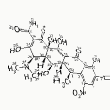 C[C@@H]1c2c([N+](=O)[O-])cc(C(C)(C)C)c(O)c2C(=O)C2=C(O)[C@@]3(O)C(=O)C(C(N)=O)=C(O)[C@H](N(C)C)[C@H]3[C@H](O)[C@H]21